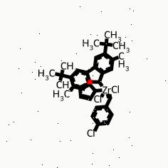 Cc1cc2c(cc1C(C)(C)C)-c1cc(C(C)(C)C)c(C)cc1[CH]2[Zr]([Cl])([Cl])(=[CH]c1ccc(Cl)cc1)[CH]1C=CC=C1